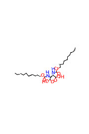 CCCCCCCCCCOC(=O)N/C(C(=O)O)=C(\NC(=O)OCCCCCCCCCC)C(=O)O